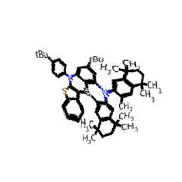 Cc1cc2c(cc1N1c3cc4c(cc3B3c5c1cc(C(C)(C)C)cc5N(c1ccc(C(C)(C)C)cc1)c1sc5ccccc5c13)C(C)(C)CCC4(C)C)C(C)(C)CCC2(C)C